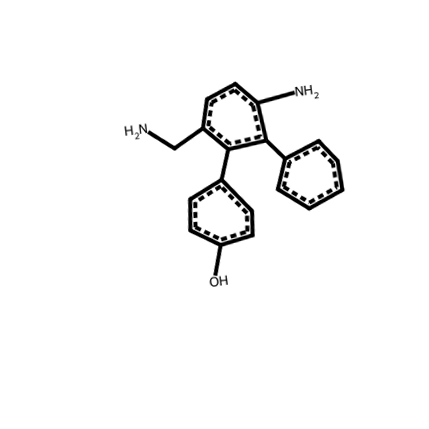 NCc1ccc(N)c(-c2ccccc2)c1-c1ccc(O)cc1